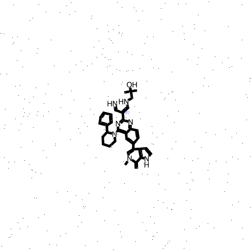 C=C1c2[nH]ccc2C(c2ccc3nc(/C(C=N)=C/NCC(C)(C)O)nc(N4CCCCC4c4ccccc4)c3c2)=CN1C